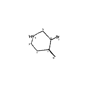 CC1CCNCC1Br